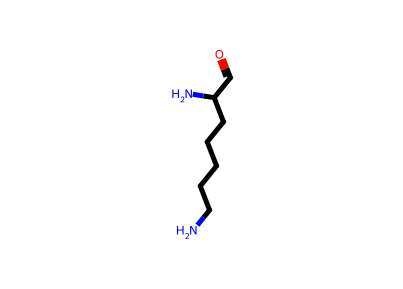 NCCCCCC(N)C=O